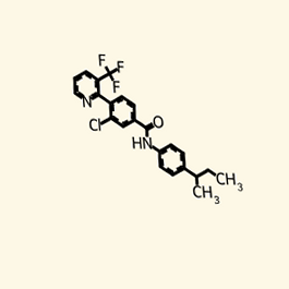 CCC(C)c1ccc(NC(=O)c2ccc(-c3ncccc3C(F)(F)F)c(Cl)c2)cc1